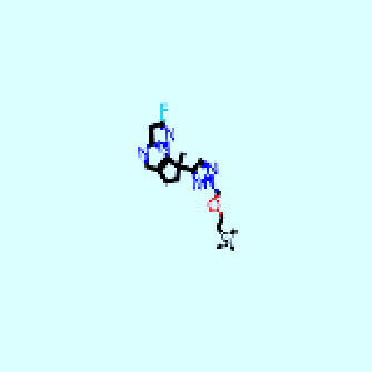 CC1(c2cnn(COCC[Si](C)(C)C)n2)CCc2cnc3cc(F)nn3c21